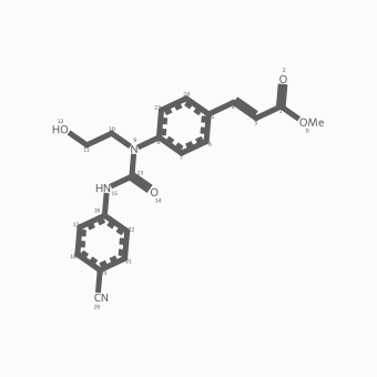 COC(=O)C=Cc1ccc(N(CCO)C(=O)Nc2ccc(C#N)cc2)cc1